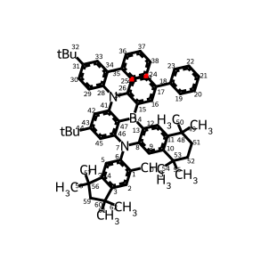 Cc1cc2c(cc1N1c3cc4c(cc3B3c5cc(-c6ccccc6)ccc5N(c5ccc(C(C)(C)C)cc5-c5ccccc5)c5cc(C(C)(C)C)cc1c53)C(C)(C)CCC4(C)C)C(C)(C)CC2(C)C